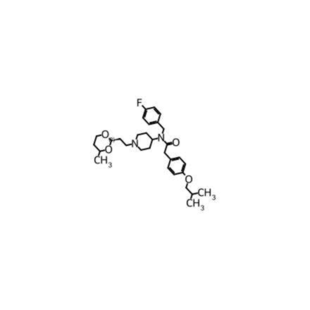 CC(C)COc1ccc(CC(=O)N(Cc2ccc(F)cc2)C2CCN(CC[C@@H]3OCCC(C)O3)CC2)cc1